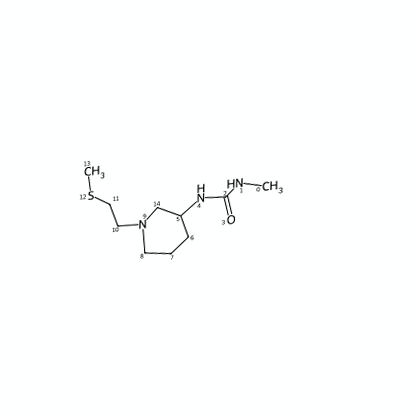 CNC(=O)NC1CCCN(CCSC)C1